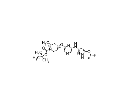 C[C@H]1C[C@H](Oc2cncc(Nc3cc(OC(F)F)[nH]n3)n2)CCN1C(=O)OC(C)(C)C